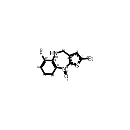 CCc1cc2c(s1)[N+](=O)C1=C(NC2)C(F)=CCC1